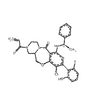 C=CC(=O)N1CCN2C(=O)c3c(N[C@H](C)c4ccccc4)nc(-c4c(O)cccc4F)c(Cl)c3OCC2C1